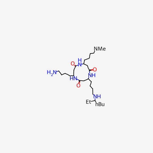 CCCCC(CC)NCCCCC1CC(=O)NC(CCCCN)CC(=O)NC(CCCCNC)CC(=O)N1